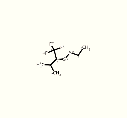 CCSS[C@@H](C(C)C)C(F)(F)F